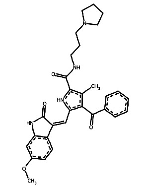 COc1ccc2c(c1)NC(=O)C2=Cc1[nH]c(C(=O)NCCCN2CCCC2)c(C)c1C(=O)c1ccccc1